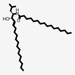 CCCCCCCCCCCCC/C=C/[C@H](O)[C@@H](CC(C)C)NC(=O)CCCCCCCCCCCCCCC